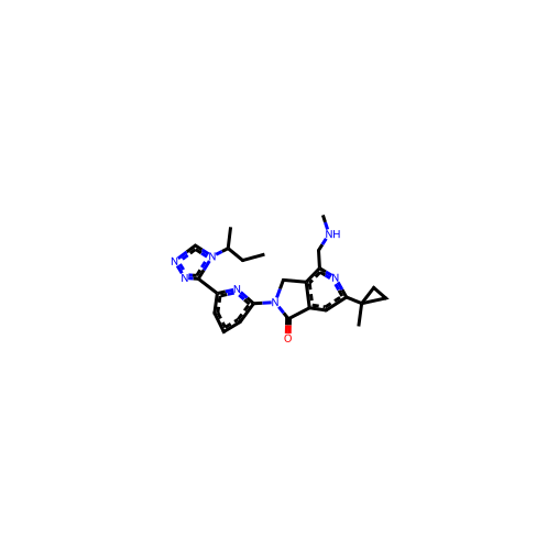 CCC(C)n1cnnc1-c1cccc(N2Cc3c(cc(C4(C)CC4)nc3CNC)C2=O)n1